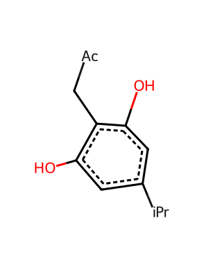 CC(=O)Cc1c(O)cc(C(C)C)cc1O